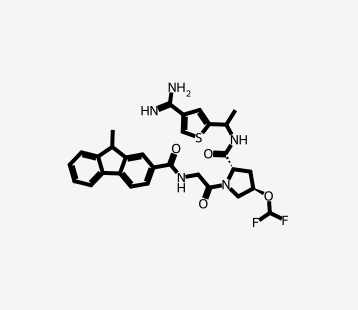 CC(NC(=O)[C@@H]1C[C@@H](OC(F)F)CN1C(=O)CNC(=O)c1ccc2c(c1)C(C)c1ccccc1-2)c1cc(C(=N)N)cs1